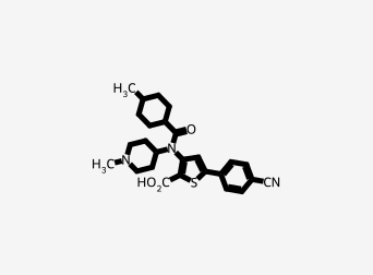 CC1CCC(C(=O)N(c2cc(-c3ccc(C#N)cc3)sc2C(=O)O)C2CCN(C)CC2)CC1